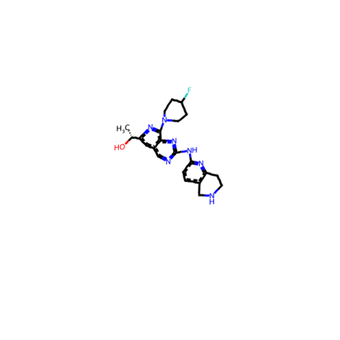 C[C@@H](O)c1cc2cnc(Nc3ccc4c(n3)CCNC4)nc2c(N2CCC(F)CC2)n1